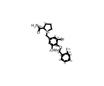 COc1cc(CN2CCCC2C(N)=O)cc(Br)c1OCc1ccccc1F